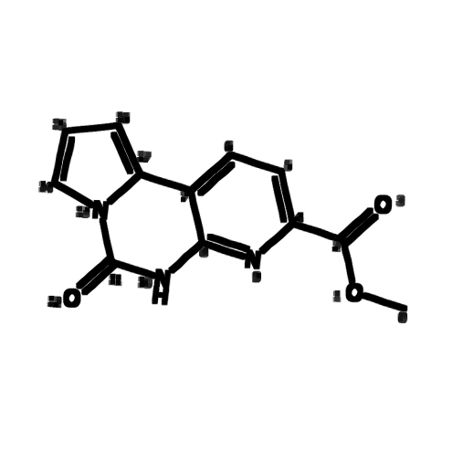 COC(=O)c1ccc2c(n1)[nH]c(=O)n1cccc21